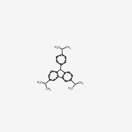 CN(C)c1ccc(C2c3ccc(N(C)C)cc3-c3cc(N(C)C)ccc32)cc1